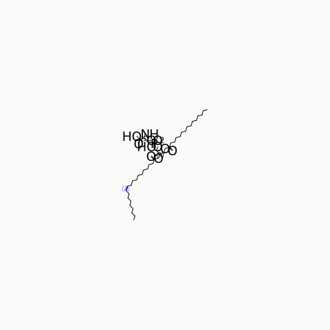 CCCCCCCC/C=C\CCCCCCCCCC(=O)O[C@H](COC(=O)CCCCCCCCCCCCCC)COP(=O)(O)OC[C@H](N)C(=O)O